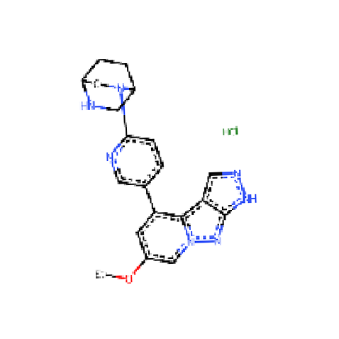 CCOc1cc(-c2ccc(N3CC4CCC3CN4)nc2)c2c3cn[nH]c3nn2c1.Cl